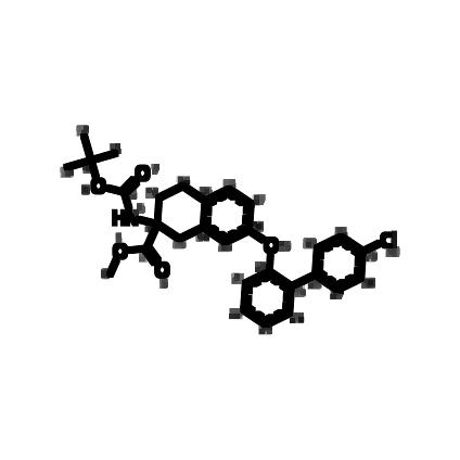 COC(=O)C1(NC(=O)OC(C)(C)C)CCc2ccc(Oc3ccccc3-c3ccc(Cl)cc3)cc2C1